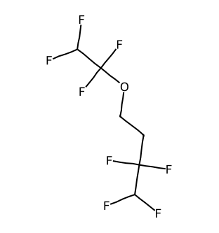 FC(F)C(F)(F)CCOC(F)(F)C(F)F